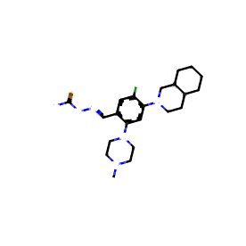 CN1CCN(c2cc(N3CC[C@@H]4CCCC[C@@H]4C3)c(F)cc2/C=N/NC(N)=S)CC1